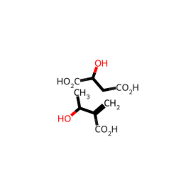 C=C(C(=O)O)C(C)O.O=C(O)CC(O)C(=O)O